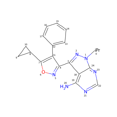 CC(C)n1nc(-c2noc(C3CC3)c2-c2ccccc2)c2c(N)ncnc21